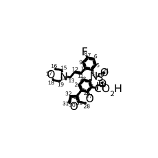 O=C(O)c1c(N(c2ccc(F)cc2C=CCN2CCOCC2)[SH](=O)=O)ccc2c1OCc1occc1-2